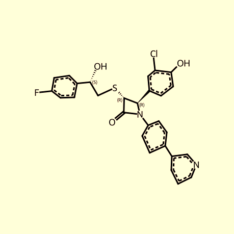 O=C1[C@H](SC[C@@H](O)c2ccc(F)cc2)[C@@H](c2ccc(O)c(Cl)c2)N1c1ccc(-c2cccnc2)cc1